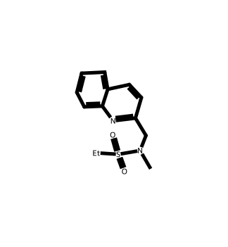 CCS(=O)(=O)N(C)Cc1ccc2ccccc2n1